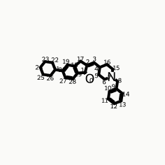 O=C1C(=CC2CCN(Cc3ccccc3)CC2)Cc2cc(C3CCCCC3)ccc21